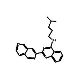 CN(C)CCCNc1nc(-c2ccc3ccccc3c2)nc2ccccc12